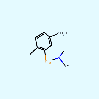 CC(C)N(C)C.Cc1ccc(S(=O)(=O)O)cc1P